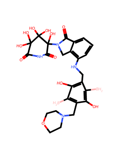 Bc1c(O)c(CN2CCOCC2)c(B)c(O)c1CNc1cccc2c1CN(C1(O)C(=O)NC(=O)C(O)(O)C1(O)O)C2=O